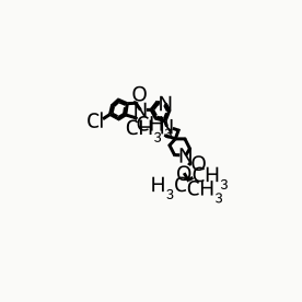 CC(C)(C)OC(=O)N1CCC2(CC1)CN(c1cncc(N3C(=O)c4ccc(Cl)cc4C3(C)C)c1)C2